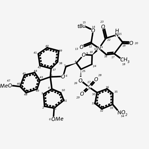 COc1ccc(C(OC[C@H]2O[C@@H]([N+]3(C(=O)OC(C)(C)C)C=C(C)C(=O)NC3=O)C[C@@H]2OS(=O)(=O)c2ccc([N+](=O)[O-])cc2)(c2ccccc2)c2ccc(OC)cc2)cc1